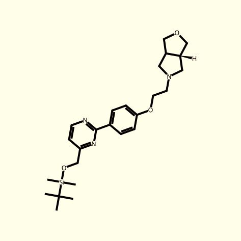 CC(C)(C)[Si](C)(C)OCc1ccnc(-c2ccc(OCCN3CC4COC[C@@H]4C3)cc2)n1